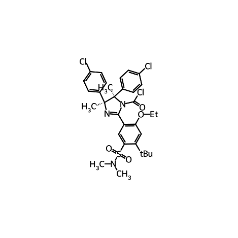 CCOc1cc(C(C)(C)C)c(S(=O)(=O)N(C)C)cc1C1=N[C@@](C)(c2ccc(Cl)cc2)[C@@](C)(c2ccc(Cl)cc2)N1C(=O)Cl